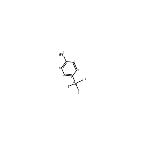 CC(C)c1ccc([Si](I)(I)I)cc1